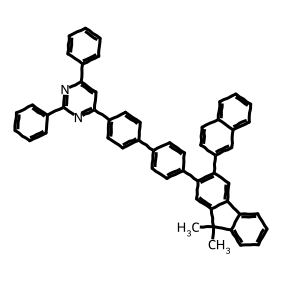 CC1(C)c2ccccc2-c2cc(-c3ccc4ccccc4c3)c(-c3ccc(-c4ccc(-c5cc(-c6ccccc6)nc(-c6ccccc6)n5)cc4)cc3)cc21